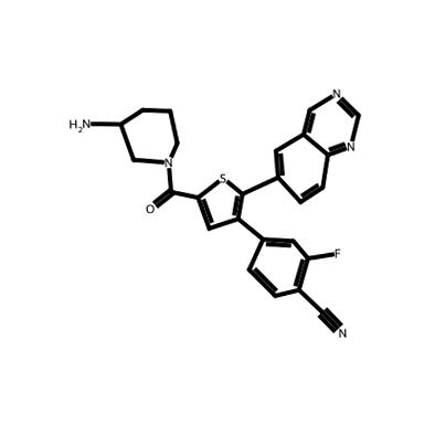 N#Cc1ccc(-c2cc(C(=O)N3CCCC(N)C3)sc2-c2ccc3ncncc3c2)cc1F